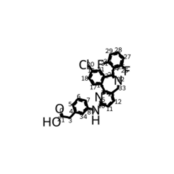 O=C(O)Cc1cccc(Nc2ccc3c(n2)-c2ccc(Cl)cc2C(c2c(F)cccc2F)=NC3)c1